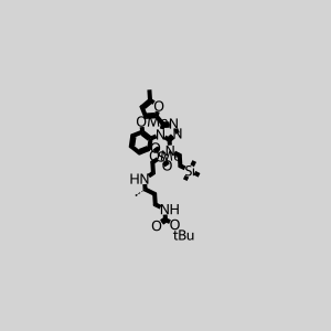 COc1cccc(OC)c1-n1c(-c2ccc(C)o2)nnc1N(CC[Si](C)(C)C)S(=O)(=O)CCN[C@@H](C)CCNC(=O)OC(C)(C)C